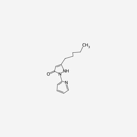 CCCCCc1cc(=O)n(-c2ccccn2)[nH]1